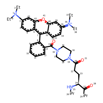 CCN(CC)c1ccc2c(-c3ccccc3C(=O)N3CCN(C(=O)CC[C@H](NC(C)C)C(=O)C(C)C)CC3)c3ccc(=[N+](CC)CC)cc-3oc2c1